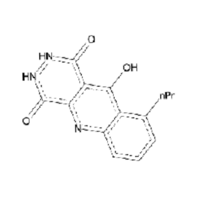 CCCc1cccc2nc3c(=O)[nH][nH]c(=O)c3c(O)c12